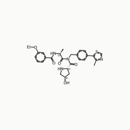 CCOc1cccc(C(=O)N[C@@H](C)C(=O)N(Cc2ccc(-c3scnc3C)cc2)C(=O)[C@@H]2C[C@@H](O)CN2)c1